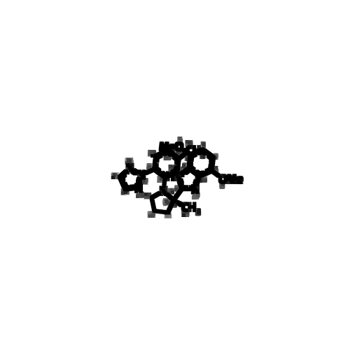 COc1ccc(OC)c2[nH]c([C@]3(C)CCCN3c3cc(C)c[c]c3-n3nccn3)nc12